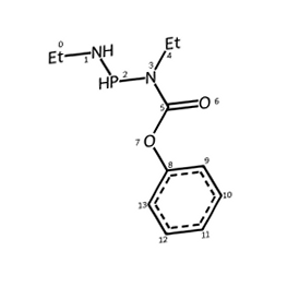 CCNPN(CC)C(=O)Oc1ccccc1